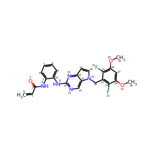 C=CC(=O)Nc1ccccc1Nc1ncc2c(ccn2Cc2c(F)c(OC)cc(OC)c2F)n1